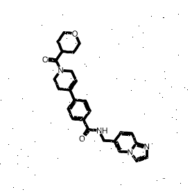 O=C(NCc1ccc2nccn2c1)c1ccc(C2=CCN(C(=O)C3CCOCC3)CC2)cc1